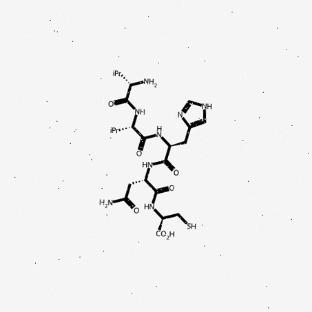 CC(C)[C@H](N)C(=O)N[C@H](C(=O)N[C@@H](Cc1c[nH]cn1)C(=O)N[C@@H](CC(N)=O)C(=O)N[C@@H](CS)C(=O)O)C(C)C